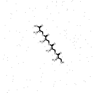 N[C@H](COC(=O)[C@H](N)COC(=O)[C@H](N)COC(=O)[C@H](N)CO)C(=O)O